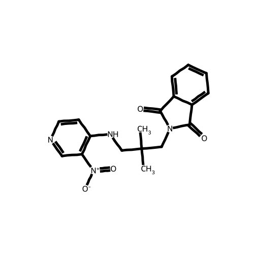 CC(C)(CNc1ccncc1[N+](=O)[O-])CN1C(=O)c2ccccc2C1=O